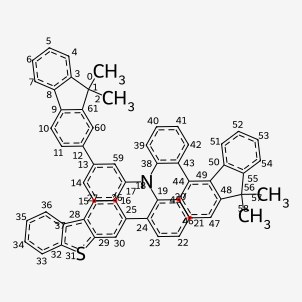 CC1(C)c2ccccc2-c2ccc(-c3cccc(N(c4ccccc4-c4ccc5c(c4)sc4ccccc45)c4ccccc4-c4cccc5c4-c4ccccc4C5(C)C)c3)cc21